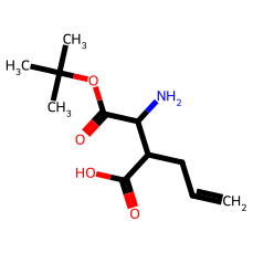 C=CCC(C(=O)O)C(N)C(=O)OC(C)(C)C